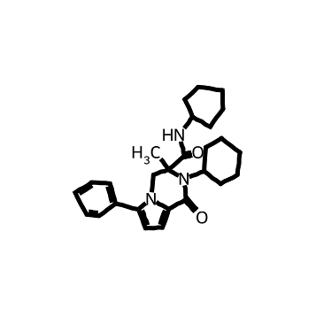 CC1(C(=O)NC2CCCCC2)Cn2c(ccc2-c2ccccc2)C(=O)N1C1CCCCC1